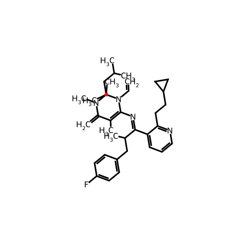 C=CN(C(/N=C(/c1cccnc1CCC1CC1)C(C)Cc1ccc(F)cc1)=C(/C)C(=C)N(C)CCC(C)C)C(C)C